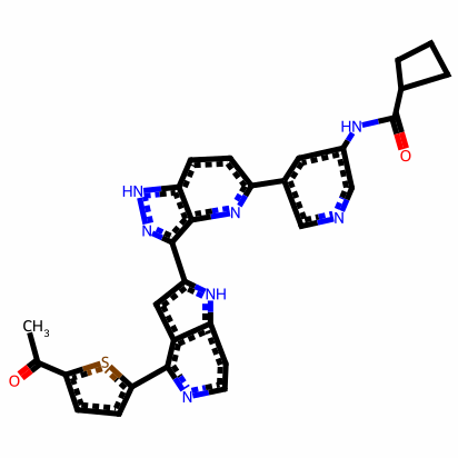 CC(=O)c1ccc(-c2nccc3[nH]c(-c4n[nH]c5ccc(-c6cncc(NC(=O)C7CCC7)c6)nc45)cc23)s1